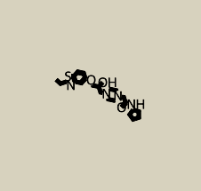 CCc1nc2cc(OCC(O)CN3CCN(CC(=O)NC4CCCC4)CC3)ccc2s1